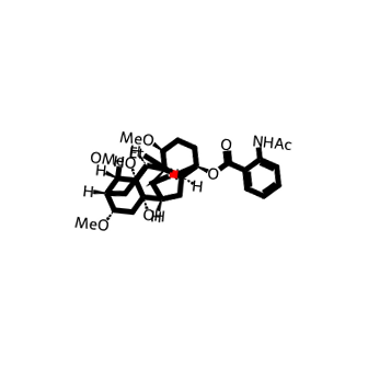 CCN1C[C@]2(OC(=O)c3ccccc3NC(C)=O)CC[C@H](OC)[C@]34C1[C@H](C[C@H]23)[C@@]1(O)C[C@H](OC)[C@H]2C[C@@H]4[C@]1(O)[C@H]2OC